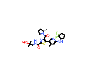 Cc1cc(N[C@@H]2CCCC2(F)F)ncc1-c1sc(C(=O)NCC(C)(C)O)nc1C(=O)N1CCC[C@@H]1C